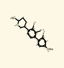 CCCCC1CCC(c2ccc(-c3ccc(OC)cc3F)c(F)c2F)CO1